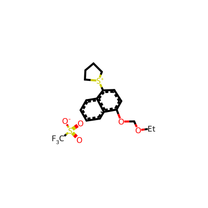 CCOCOc1ccc([S+]2CCCC2)c2ccccc12.O=S(=O)([O-])C(F)(F)F